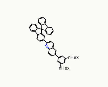 CCCCCCc1cc(CCCCCC)cc(-c2ccc3nc(-c4ccc5c(c4)C4(c6ccccc6-c6ccccc64)c4ccccc4-5)ccc3c2)c1